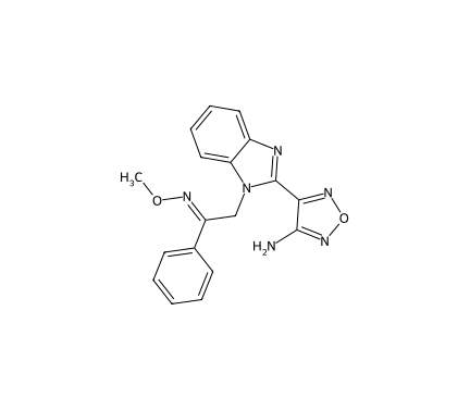 CON=C(Cn1c(-c2nonc2N)nc2ccccc21)c1ccccc1